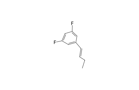 CC/C=C/c1cc(F)cc(F)c1